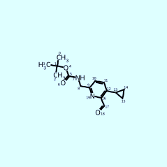 CC(C)(C)OC(=O)NCc1ccc(C2CC2)c(C=O)n1